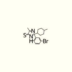 CC1=NC(c2cc(Br)ccc2C)(C2CCC(C)CC2)NC1=S